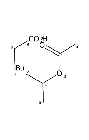 CC(=O)OC(C)C.CCC(C)CC(=O)O